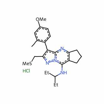 CCC(CC)Nc1c2c(nc3c(-c4ccc(OC)cc4C)c(CSC)nn13)CCC2.Cl